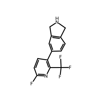 Fc1ccc(-c2ccc3c(c2)CNC3)c(C(F)(F)F)n1